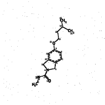 CNC(=O)N1Cc2ccc(OCCC(C)C)cc2C1